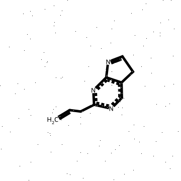 C=CCc1ncc2c(n1)N=CC2